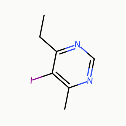 CCc1ncnc(C)c1I